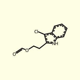 O=COCCc1[nH]c2ccccc2c1Cl